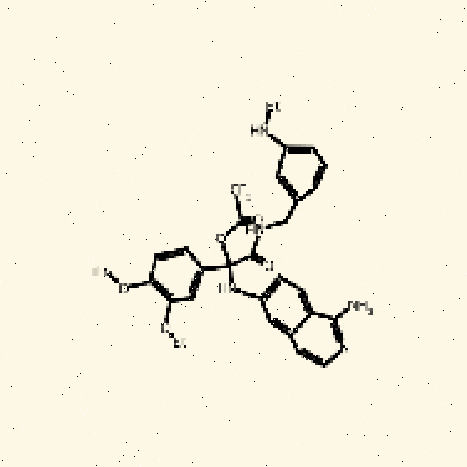 CCNc1cccc(CNC(=O)C(Nc2ccc3c(N)nccc3c2)(OC(=O)C(F)(F)F)c2ccc(OC(C)C)c(OCC)c2)c1